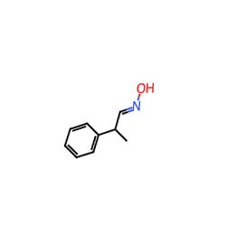 CC(C=NO)c1ccccc1